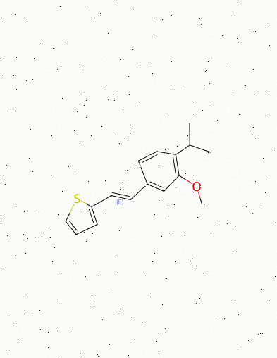 COc1cc(/C=C/c2cccs2)ccc1C(C)C